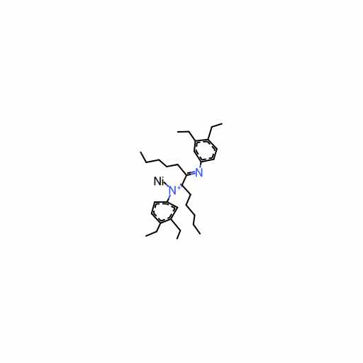 CCCCCC(=Nc1ccc(CC)c(CC)c1)C(CCCCC)=[N+]([Ni])c1ccc(CC)c(CC)c1